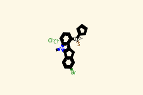 Cn1c2c(c3[c]([Zr+2](=[S])[C]4=CC=CC4)cccc31)Cc1cc(Br)ccc1-2.[Cl-].[Cl-]